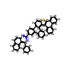 c1ccc(-c2nc(-c3ccc4c(c3)c3ccccc3c3c4ccc4sc5c6ccccc6c6ccccc6c5c43)nc3ccc4ccccc4c23)cc1